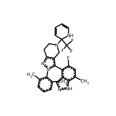 Cc1cccc(C)c1-n1nc2c(c1-c1c(F)cc(C)c3[nH]ncc13)CN(C1(C(F)(F)F)C=CC=CN1)CC2